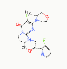 CC1COCCN1c1nc2n(c(=O)c1F)CCC(C(F)(F)F)N2CC(=O)c1ncccc1F